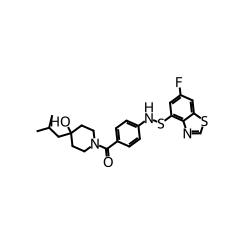 CC(C)CC1(O)CCN(C(=O)c2ccc(NSc3cc(F)cc4scnc34)cc2)CC1